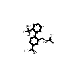 CC(=O)OCc1cc(C(=O)O)ccc1-c1ccccc1C(F)(F)F